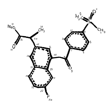 C=S(C)(=O)c1ccc(C(=O)c2cc(C(C)C(=O)OC)cc3ccc(F)cc23)cc1